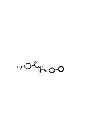 CN1CCN(C(=O)CNC(=O)/C=C/c2ccc(-c3ccccc3)cc2)CC1